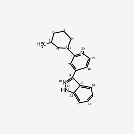 CC1CCCN(c2cc(-c3n[nH]c4ccccc34)ccn2)C1